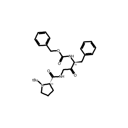 CC(C)(C)N1CCC[C@H]1C(=O)NCC(=O)[C@H](Cc1ccccc1)NC(=O)OCc1ccccc1